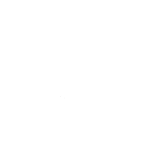 CC(C)(C)OCc1ccc2c(c1)CCCC2